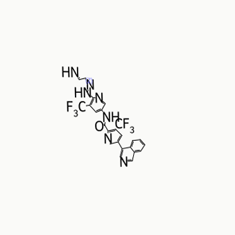 N=C/C=N\Nc1ncc(NC(=O)c2ncc(-c3cncc4ccccc34)cc2C(F)(F)F)cc1C(F)(F)F